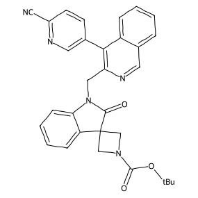 CC(C)(C)OC(=O)N1CC2(C1)C(=O)N(Cc1ncc3ccccc3c1-c1ccc(C#N)nc1)c1ccccc12